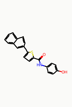 O=C(Nc1ccc(O)cc1)c1ccc(-c2ccc3ccccc3c2)s1